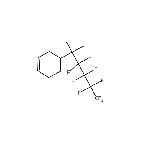 CC(I)(C1CC=CCC1)C(F)(F)C(F)(F)C(F)(F)C(F)(F)F